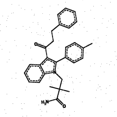 Cc1ccc(-c2c(C(=O)CCc3ccccc3)c3ccccc3n2CC(C)(C)C(N)=O)cc1